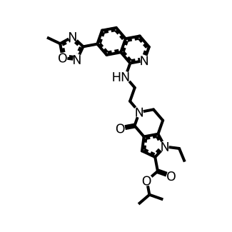 CCn1c(C(=O)OC(C)C)cc2c1CCN(CCNc1nccc3ccc(-c4noc(C)n4)cc13)C2=O